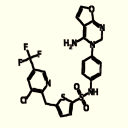 NC1=c2ccoc2=NCN1c1ccc(NS(=O)(=O)c2ccc(Cc3ncc(C(F)(F)F)cc3Cl)s2)cc1